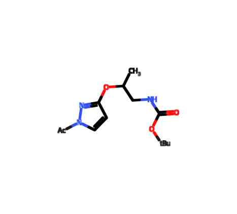 CC(=O)n1ccc(OC(C)CNC(=O)OC(C)(C)C)n1